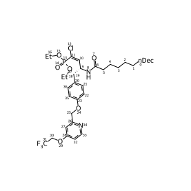 CCCCCCCCCCCCCCCC(=O)N[C@@H](/C=C(/Cl)P(=O)(OCC)OCC)Cc1ccc(OCc2cc(OCC(F)(F)F)ccn2)cc1